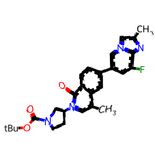 Cc1cn2cc(-c3ccc4c(=O)n(C5CCN(C(=O)OC(C)(C)C)C5)cc(C)c4c3)cc(F)c2n1